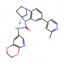 Cc1cc(-c2ccc3c(n2)N(C(=O)Nc2cnc4c(c2)OCCO4)[C@H]2CCN3C2)ccn1